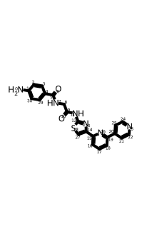 Nc1ccc(C(=O)NCC(=O)Nc2nc(-c3cccc(-c4ccncc4)n3)cs2)cc1